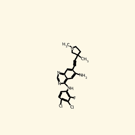 CN1CCC(C)(C#Cc2cc3ncnc(Nc4ccc(Cl)c(Cl)c4F)c3cc2N)C1